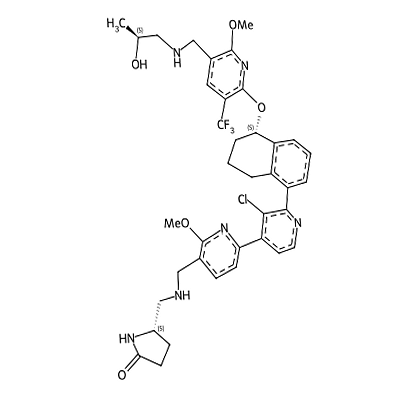 COc1nc(-c2ccnc(-c3cccc4c3CCC[C@@H]4Oc3nc(OC)c(CNC[C@H](C)O)cc3C(F)(F)F)c2Cl)ccc1CNC[C@@H]1CCC(=O)N1